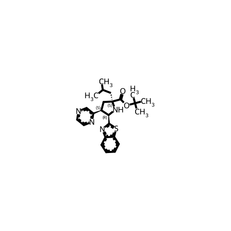 CC(C)C[C@@]1(C(=O)OC(C)(C)C)C[C@H](c2cnccn2)[C@H](c2nc3ccccc3s2)N1